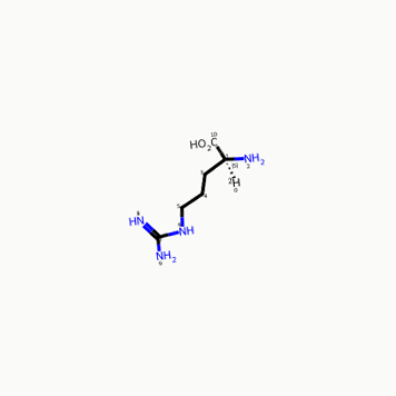 [2H][C@](N)(CCCNC(=N)N)C(=O)O